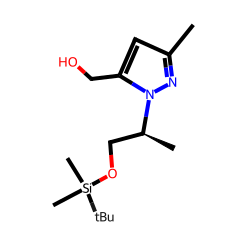 Cc1cc(CO)n([C@@H](C)CO[Si](C)(C)C(C)(C)C)n1